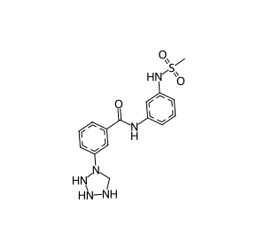 CS(=O)(=O)Nc1cccc(NC(=O)c2cccc(N3CNNN3)c2)c1